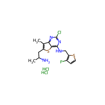 Cc1c(CC(C)N)sc2c(NCc3sccc3F)nc(Cl)nc12.Cl.Cl